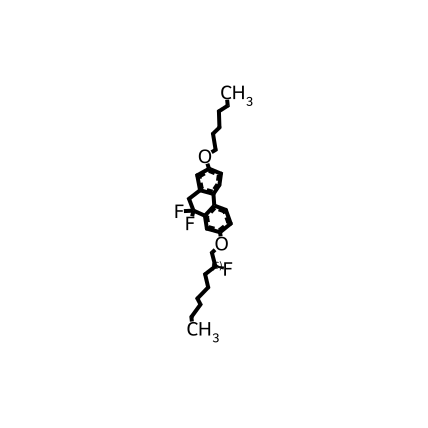 CCCCCCOc1ccc2c(c1)CC(F)(F)c1cc(OC[C@@H](F)CCCCCC)ccc1-2